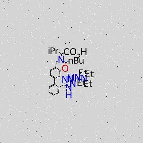 CCCCC(=O)N(Cc1ccc(-c2ccccc2-c2nnn[nH]2)cc1)[C@H](C(=O)O)C(C)C.CCNCC.CCNCC